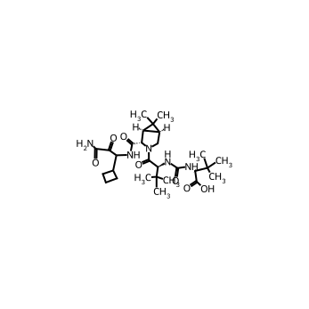 CC(C)(C)[C@H](NC(=O)N[C@H](C(=O)N1C[C@H]2[C@@H]([C@H]1C(=O)NC(C(=O)C(N)=O)C1CCC1)C2(C)C)C(C)(C)C)C(=O)O